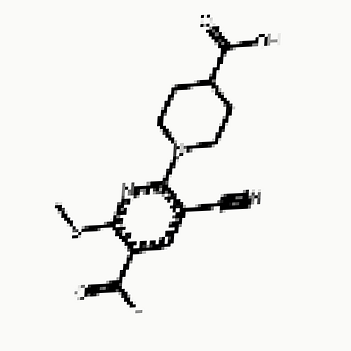 CSc1nc(N2CCC(C(=O)O)CC2)c(C#N)cc1C(=O)F